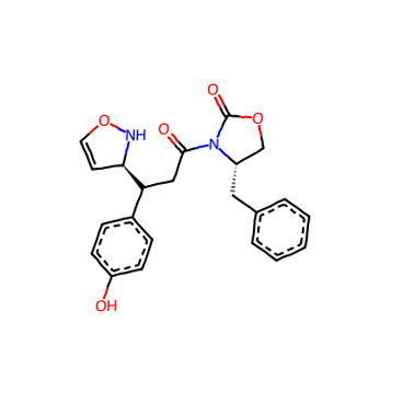 O=C(CC(c1ccc(O)cc1)[C@H]1C=CON1)N1C(=O)OC[C@@H]1Cc1ccccc1